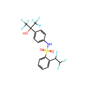 O=S(=O)(Nc1ccc(C(O)(C(F)(F)F)C(F)(F)F)cc1)c1ccccc1C(F)C(F)F